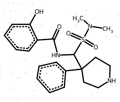 CN(C)S(=O)(=O)C(NC(=O)c1ccccc1O)C1(c2ccccc2)CCNCC1